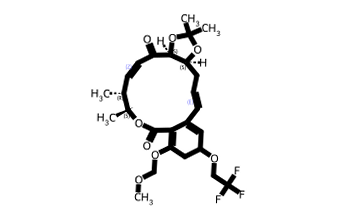 COCOC1=C2C(=O)O[C@@H](C)[C@H](C)/C=C\C(=O)[C@H]3OC(C)(C)O[C@H]3C/C=C/C2=CC(OCC(F)(F)F)C1